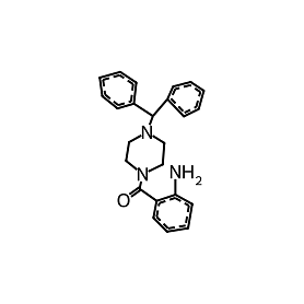 Nc1ccccc1C(=O)N1CCN(C(c2ccccc2)c2ccccc2)CC1